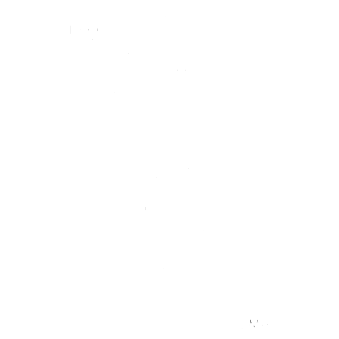 COc1cccc(C=C2CC3=C(C=C2Cl)C=C(C(=O)O)C(C(F)(F)F)O3)c1